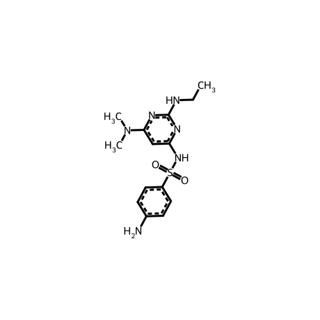 CCNc1nc(NS(=O)(=O)c2ccc(N)cc2)cc(N(C)C)n1